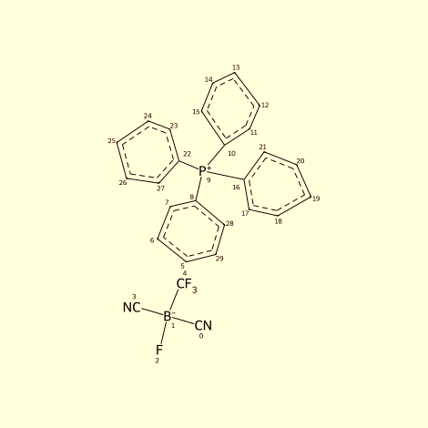 N#C[B-](F)(C#N)C(F)(F)F.c1ccc([P+](c2ccccc2)(c2ccccc2)c2ccccc2)cc1